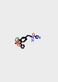 CCS(=O)(=O)C(c1ccccc1)c1ccc(CC#CNC(=O)c2ccncc2)cc1Cl